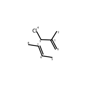 C=C(C)CCl.CC=CC